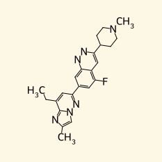 CCc1cc(-c2cc(F)c3cc(C4CCN(C)CC4)nnc3c2)nn2cc(C)nc12